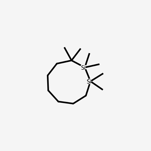 CC1(C)CCCCCC[Si](C)(C)[Si]1(C)C